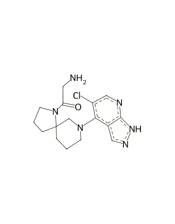 NCC(=O)N1CCCC12CCCN(c1c(Cl)cnc3[nH]ncc13)C2